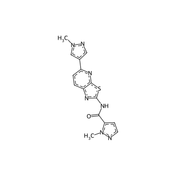 Cn1cc(-c2ccc3nc(NC(=O)c4ccnn4C)sc3n2)cn1